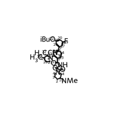 CNC1CCCN(S(=O)(=O)NC(=O)c2ccc(-c3cc(F)cc(OCC(C)C)c3)nc2N2CCC(C)C2(C)C)C1